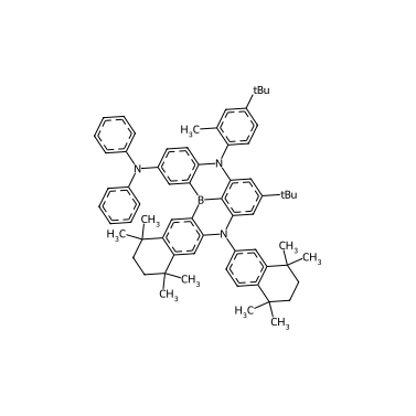 Cc1cc(C(C)(C)C)ccc1N1c2ccc(N(c3ccccc3)c3ccccc3)cc2B2c3cc4c(cc3N(c3ccc5c(c3)C(C)(C)CCC5(C)C)c3cc(C(C)(C)C)cc1c32)C(C)(C)CCC4(C)C